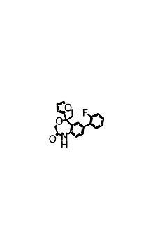 CCC1(c2ccco2)OCC(=O)Nc2ccc(-c3ccccc3F)cc21